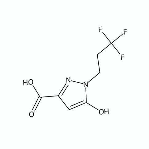 O=C(O)c1cc(O)n(CCC(F)(F)F)n1